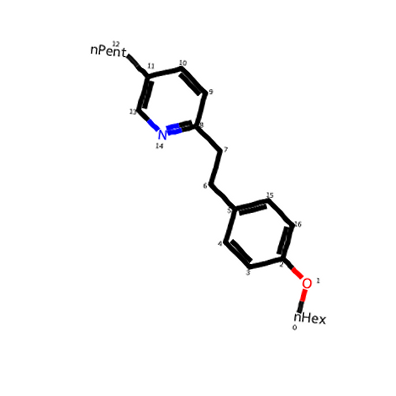 CCCCCCOc1ccc(CCc2ccc(CCCCC)cn2)cc1